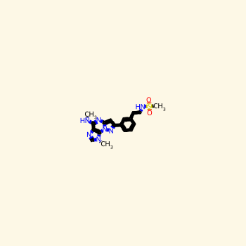 CNc1nc2cc(-c3cccc(CCNS(C)(=O)=O)c3)nn2c2c1ncn2C